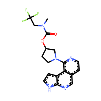 CN(CC(F)(F)F)C(=O)OC1CCN(c2nccc3cnc4[nH]ccc4c23)C1